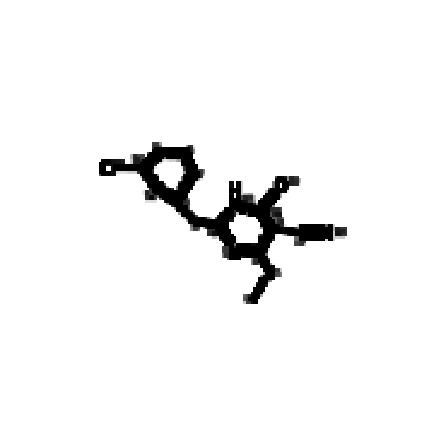 CSc1nc(Cc2cccc(Cl)c2)[nH]c(=O)c1C#N